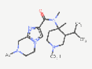 CC(=O)N1CCn2cc(C(=O)N(C)C3(C)CCN(C(=O)O)CC3C(C(F)(F)F)C(F)(F)F)nc2C1